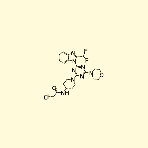 O=C(CCl)NC1CCN(c2nc(N3CCOCC3)nc(-n3c(C(F)F)nc4ccccc43)n2)CC1